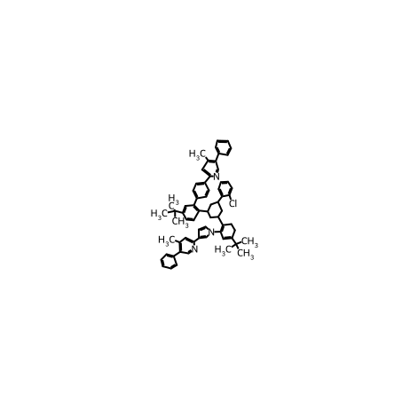 Cc1cc(-c2ccc(-c3cc(C(C)(C)C)ccc3C3CC(C4=C(n5ccc(-c6cc(C)c(-c7ccccc7)cn6)c5)C=C(C(C)(C)C)CC4)CC(c4ccccc4Cl)C3)cc2)ncc1-c1ccccc1